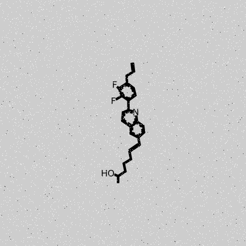 C=CCc1ccc(-c2ccc3cc(C=CCCCC(C)O)ccc3n2)c(F)c1F